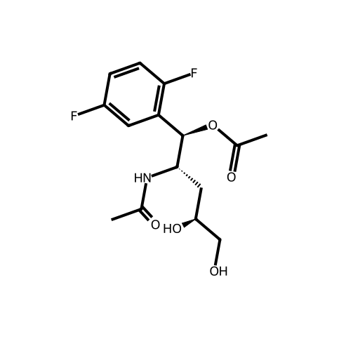 CC(=O)N[C@@H](C[C@H](O)CO)[C@H](OC(C)=O)c1cc(F)ccc1F